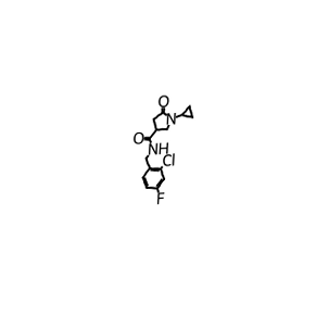 O=C(NCc1ccc(F)cc1Cl)C1CC(=O)N(C2CC2)C1